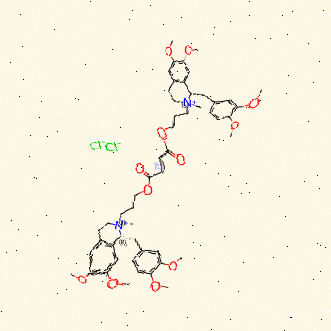 COc1ccc(CC2c3cc(OC)c(OC)cc3CC[N@@+]2(C)CCCOC(=O)/C=C/C(=O)OCCC[N@+]2(C)CCc3cc(OC)c(OC)cc3[C@H]2Cc2ccc(OC)c(OC)c2)cc1OC.[Cl-].[Cl-]